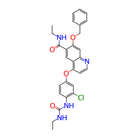 CCNC(=O)Nc1ccc(Oc2ccnc3cc(OCc4ccccc4)c(C(=O)NCC)cc23)cc1Cl